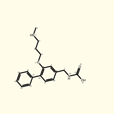 CNCCCOc1cc(CNC(=O)O)ccc1-c1ccccc1